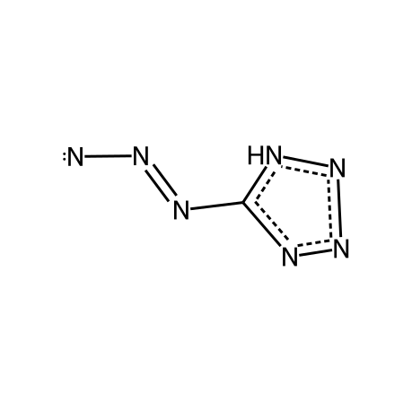 [N]N=Nc1nnn[nH]1